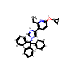 C=Cc1nc(OC2CC2)ccc1-c1cn(C(c2ccccc2)(c2ccccc2)c2ccccc2)cn1